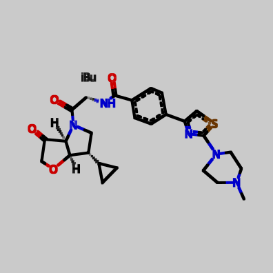 CC[C@H](C)[C@H](NC(=O)c1ccc(-c2csc(N3CCN(C)CC3)n2)cc1)C(=O)N1C[C@H](C2CC2)[C@H]2OCC(=O)[C@H]21